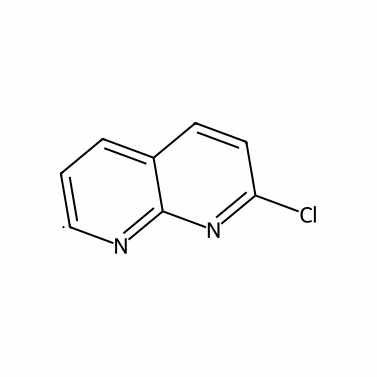 Clc1ccc2cc[c]nc2n1